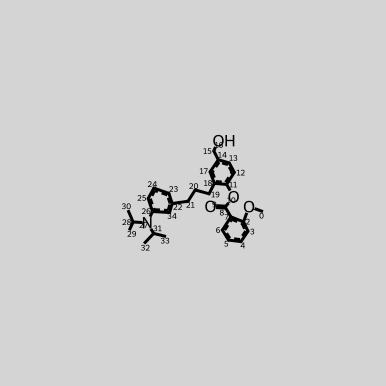 COc1ccccc1C(=O)Oc1ccc(CO)cc1CCCc1cccc(N(C(C)C)C(C)C)c1